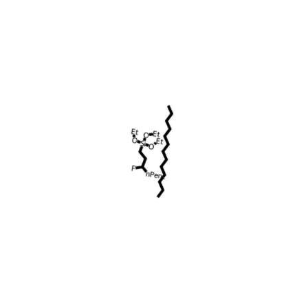 CCCCCC(F)CC[Si](OCC)(OCC)OCC.CCCCCCCCCCCCC